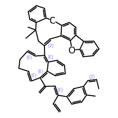 C=C/C(=C\C(=C)C1=c2/cccc/c2=C(\C2=C/c3c(ccc4c3oc3ccccc34)Cc3ccccc3C(C)(C)C2)/C=C/CC/C=C/1)c1ccc(C)c(/C=C\C)c1